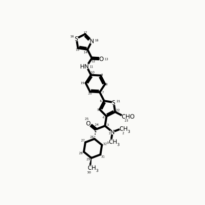 CN(C)C(c1cc(-c2ccc(NC(=O)c3cscn3)cc2)sc1C=O)C(=O)[C@H]1CC[C@H](C)CC1